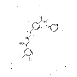 Cc1cc([C@@H](O)CNCCc2ccc(C(=O)N(C)Cc3cccnc3)cc2)cnc1Cl